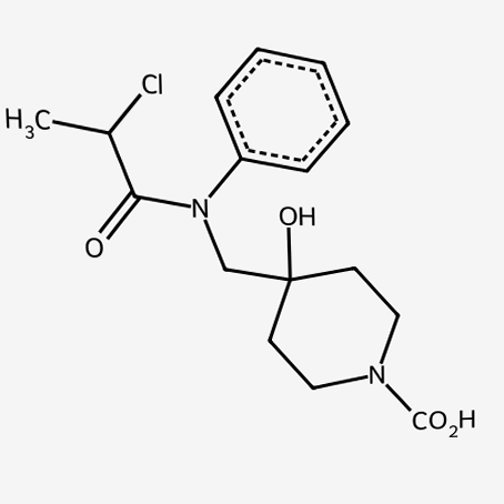 CC(Cl)C(=O)N(CC1(O)CCN(C(=O)O)CC1)c1ccccc1